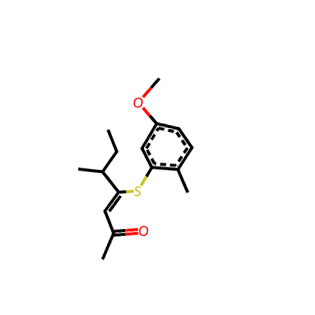 CCC(C)/C(=C/C(C)=O)Sc1cc(OC)ccc1C